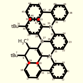 CC1C2=C(CCC1C(C)(C)C)N(c1ccccc1C1=CC=CCC1)c1cccc3c1B2c1cc(C(C)(C)C)ccc1N3c1ccccc1-c1ccccc1